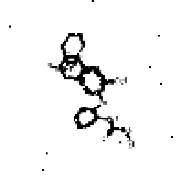 CCNC(=O)Nc1ccccc1Nc1cc2c(cc1O)[C@@]13CCCC[C@H]1[C@@H](C2)NCC3